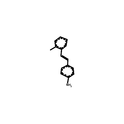 Cc1ccccc1C=Cc1ccc(N)cc1